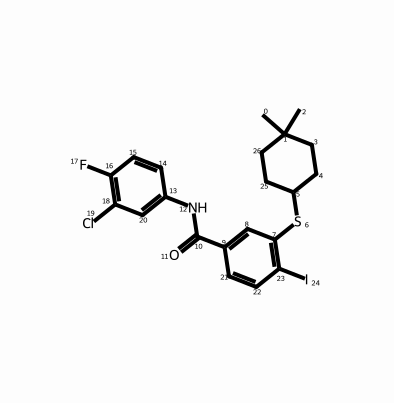 CC1(C)CCC(Sc2cc(C(=O)Nc3ccc(F)c(Cl)c3)ccc2I)CC1